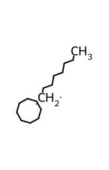 [CH2]CCCCCCC.[CH]1CCCCCCC1